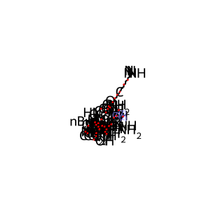 C=C1/C=C\C=C/CN/C=C\1C[C@H]1NC(=O)[C@H](CCCNC(=N)N)NC(=O)[C@@H](Cc2ccccc2)NC(=O)[C@@H]2C[C@@H](O)CN2C(=O)[C@@H](NC(=O)[C@H](CCCC)NC(=O)[C@H](CN(CC(=O)O)CC(=O)O)NC(=O)[C@H](Cc2ccc(O)cc2)NC(=O)[C@H](CCC(N)=O)NC(=O)[C@H](CO)NC(=O)CNC(=O)COCCOCCNC(=O)CCCCCCCCCCCCCCCc2nnn[nH]2)CCC(=O)NCCCC[C@@H](C(N)=O)NC1=O